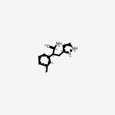 Cc1cccc(C(Cc2cc[nH]n2)C(N)=O)c1